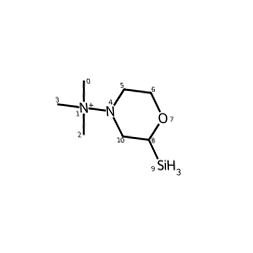 C[N+](C)(C)N1CCOC([SiH3])C1